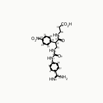 N=C(N)c1ccc(NC(=O)NCC(C(=O)NCCC(=O)O)c2ccc([N+](=O)[O-])cc2)cc1